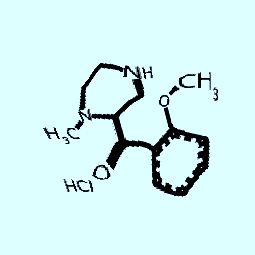 COc1ccccc1C(=O)C1CNCCN1C.Cl